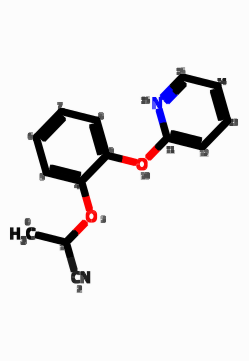 CC(C#N)Oc1ccccc1Oc1ccccn1